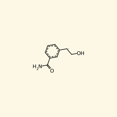 NC(=O)c1cccc([CH]CO)c1